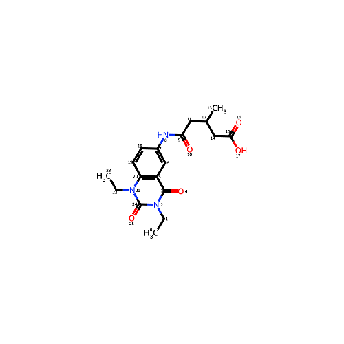 CCn1c(=O)c2cc(NC(=O)CC(C)CC(=O)O)ccc2n(CC)c1=O